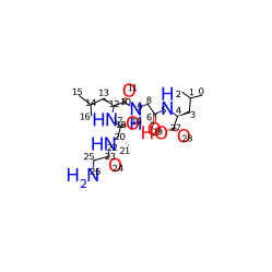 CC(C)C[C@H](NC(=O)CNC(=O)[C@H](CC(C)C)NC(=O)[C@H](C)NC(=O)CN)C(=O)O